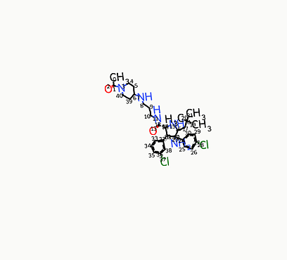 CC(=O)N1CCC(NCCCNC(=O)[C@@H]2NC(CC(C)(C)C)[C@](N)(c3ccc(Cl)cc3)[C@H]2c2cccc(Cl)c2)CC1